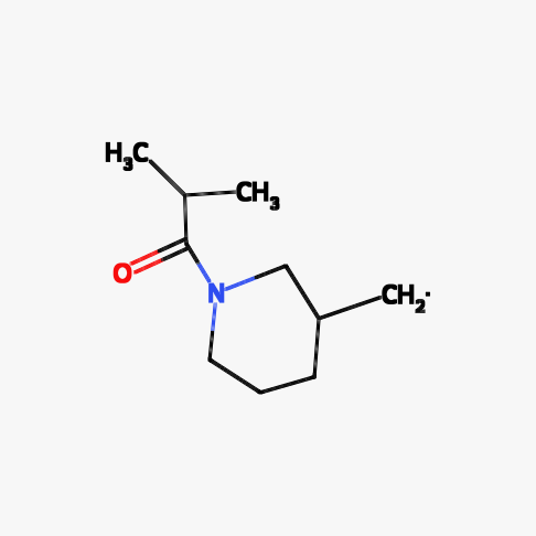 [CH2]C1CCCN(C(=O)C(C)C)C1